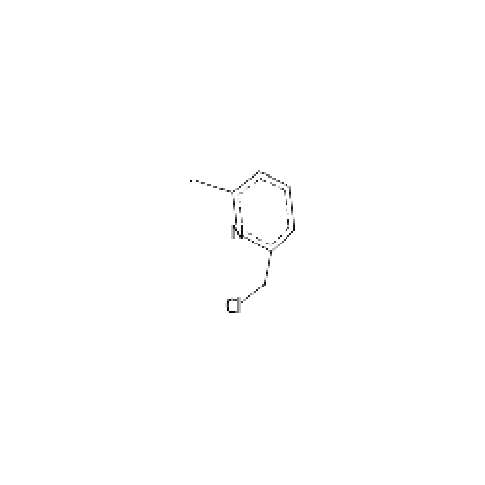 [CH2]c1cccc(CCl)n1